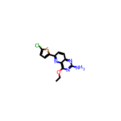 CCOc1nc(N)nc2ccc(-c3ccc(Cl)s3)nc12